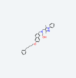 Cc1nn(-c2ccccc2)c(C)c1CN(CCO)Cc1ccc2cc(OCCCCCc3ccccc3)ccc2c1